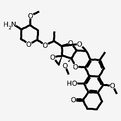 COc1c2c(c(O)c3c4c(c(C)cc13)C1OC3(C(C)OC5CC(OC)C(N)CO5)OC1[C@@](OC)(O4)[C@@]31CO1)C(=O)CCC2